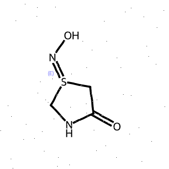 O=C1C/S(=N\O)CN1